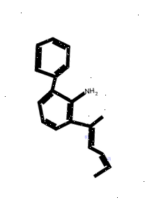 C/C=C\C=C(/C)c1cccc(-c2ccccc2)c1N